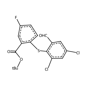 CC(C)(C)OC(=O)c1cc(F)ccc1Sc1c(Cl)cc(Cl)cc1C=O